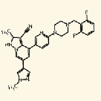 CC1NN2C=C(c3cnn(C)c3)C=C(c3ccc(N4CCN(Cc5c(F)cccc5F)CC4)nc3)C2=C1C#N